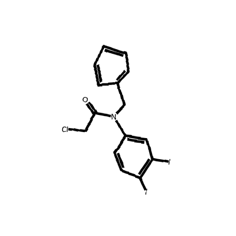 O=C(CCl)N(Cc1ccccc1)c1ccc(I)c(I)c1